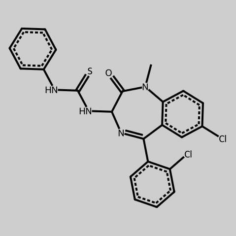 CN1C(=O)C(NC(=S)Nc2ccccc2)N=C(c2ccccc2Cl)c2cc(Cl)ccc21